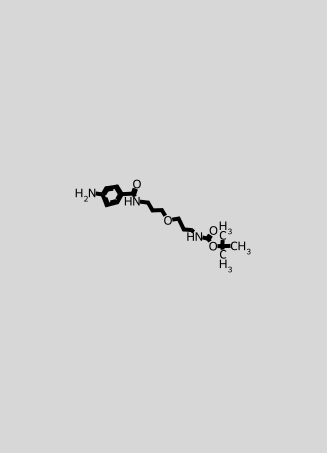 CC(C)(C)OC(=O)NCCCOCCCNC(=O)c1ccc(N)cc1